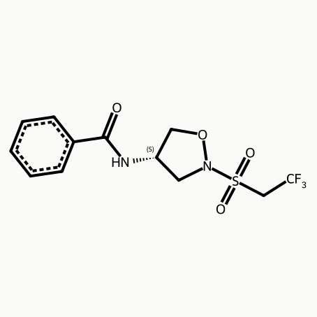 O=C(N[C@@H]1CON(S(=O)(=O)CC(F)(F)F)C1)c1ccccc1